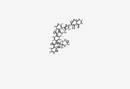 O=C(Nc1c(F)cccc1F)c1cc2c(s1)-c1ccccc1N(C(=O)c1ccc(NC(=O)c3cccnc3N3CC4(CCOCC4)C3)cc1)CC2